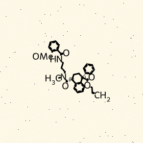 C=CCOC(=O)[C@]1(c2ccccc2)CC[C@@H](C(=O)N(C)CCCNC(=O)c2ccccc2OC)c2ccccc21